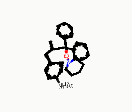 CC(=O)Nc1ccc(CC(C)C(ON2CCCCC2)(c2ccccc2)c2ccccc2)cc1